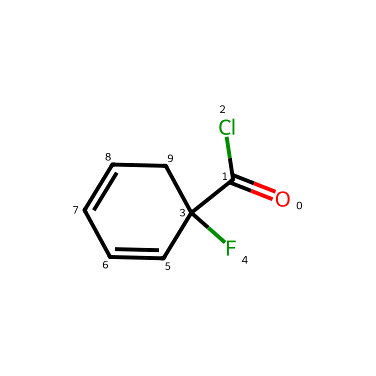 O=C(Cl)C1(F)C=CC=CC1